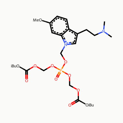 COc1ccc2c(CCN(C)C)cn(COP(=O)(OCOC(=O)OCC(C)C)OCOC(=O)OCC(C)C)c2c1